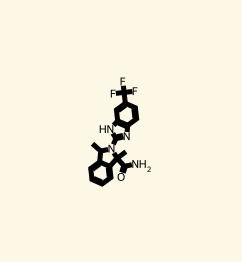 CC1c2ccccc2C(C)(C(N)=O)N1c1nc2ccc(C(F)(F)F)cc2[nH]1